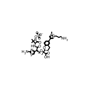 C[n+]1cc(-c2ccc3c(c2)CC[C@@H]([C@@](C)(O/N=C(\C(=O)N[C@@H]2C(=O)N(OS(=O)(=O)[O-])C2(C)C)c2csc(N)n2)C(=O)O)O3)cn1CCCN